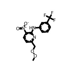 COOCc1ccc([N+](=O)[O-])c(Nc2cccc(C(F)(F)F)c2)n1